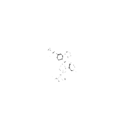 CC(C)(C)OC(=O)N1CCN(C(=O)c2ccc(NC(=O)C3CC3)cc2N2CCCC2)C(c2cncnc2)C1